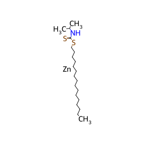 CCCCCCCCCCCCCCCCSC(=S)NC(C)C.[Zn]